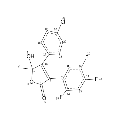 CC1(O)OC(=O)C(c2cc(F)c(F)cc2F)=C1c1ccc(Cl)cc1